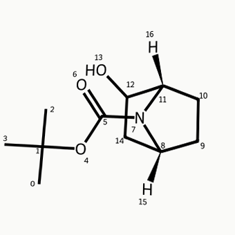 CC(C)(C)OC(=O)N1[C@@H]2CC[C@H]1C(O)C2